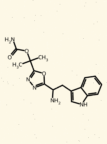 CC(C)(OC(N)=O)c1nnc(C(N)Cc2c[nH]c3ccccc23)o1